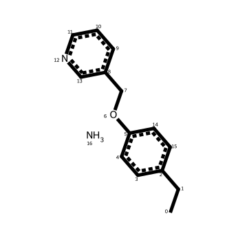 CCc1ccc(OCc2cccnc2)cc1.N